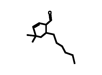 CCCCCCC1CC(C)(C)C=CC1C=O